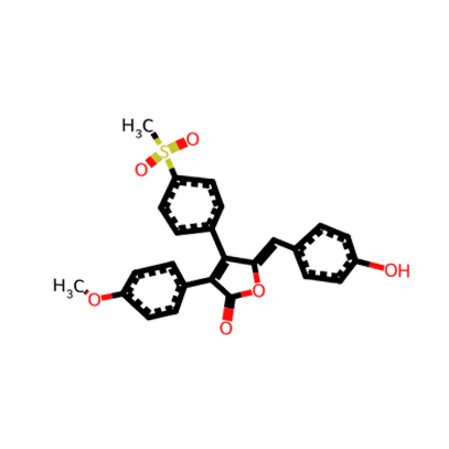 COc1ccc(C2=C(c3ccc(S(C)(=O)=O)cc3)/C(=C/c3ccc(O)cc3)OC2=O)cc1